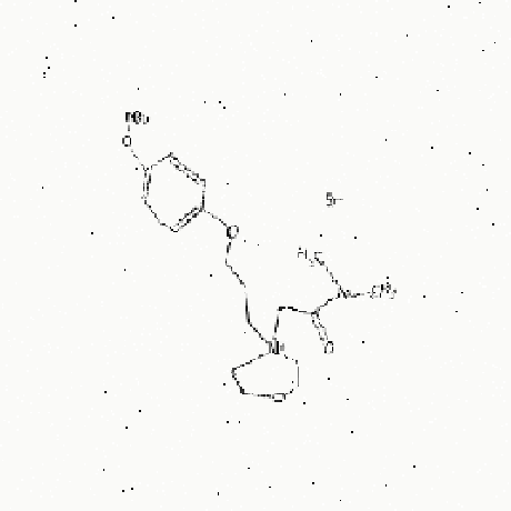 CCCCOc1ccc(OCCC[N+]2(CC(=O)N(C)C)CCOCC2)cc1.[Br-]